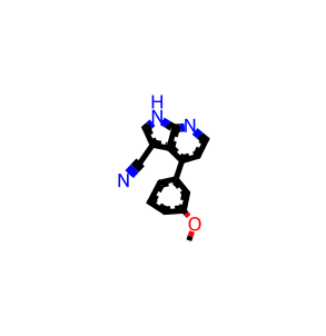 COc1cccc(-c2ccnc3[nH]cc(C#N)c23)c1